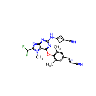 Cc1cc(/C=C/C#N)cc(C)c1Oc1nc(NC23CC(C#N)(C2)C3)nc2nc(C(F)F)n(C)c12